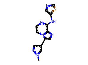 Cn1cc(-c2cnc3c(Nc4cncs4)nccn23)cn1